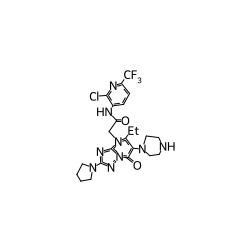 CCc1c(N2CCNCC2)c(=O)n2nc(N3CCCC3)nc2n1CC(=O)Nc1ccc(C(F)(F)F)nc1Cl